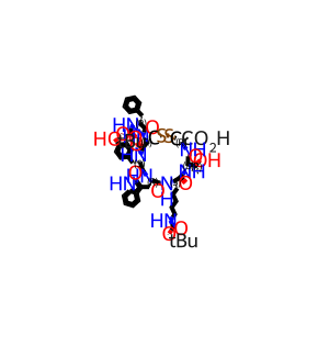 C[C@@H](O)[C@@H]1NC(=O)[C@H](CCCCCNC(=O)OC(C)(C)C)NC(=O)[C@@H](Cc2c[nH]c3ccccc23)NC(=O)[C@H](Cc2ccc(O)cc2)NC(=O)[C@@H](NC(=O)[C@@H](Cc2ccccc2)NC(=O)OC(C)(C)C)CSSC[C@@H](C(=O)O)NC1=O